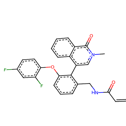 C=CC(=O)NCc1cccc(Oc2ccc(F)cc2F)c1-c1cn(C)c(=O)c2ccccc12